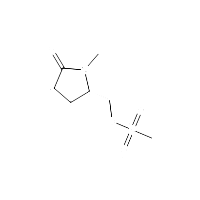 CN1C(=O)CC[C@H]1COS(C)(=O)=O